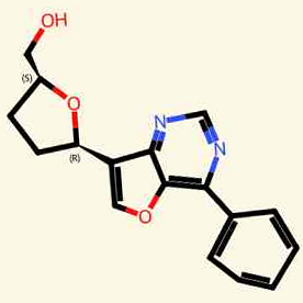 OC[C@@H]1CC[C@H](c2coc3c(-c4ccccc4)ncnc23)O1